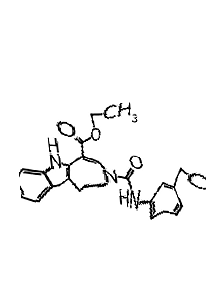 CCOC(=O)C1=CN(C(=O)Nc2cccc(CC)c2)CCc2c1[nH]c1ccccc21